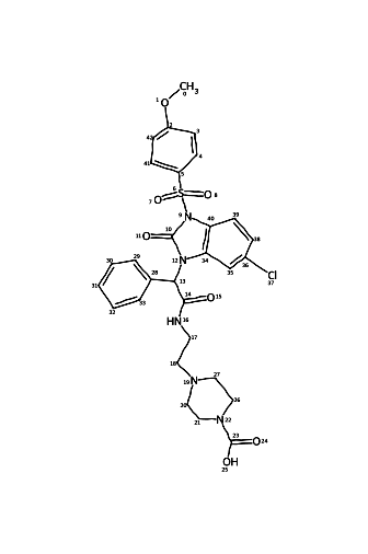 COc1ccc(S(=O)(=O)n2c(=O)n(C(C(=O)NCCN3CCN(C(=O)O)CC3)c3ccccc3)c3cc(Cl)ccc32)cc1